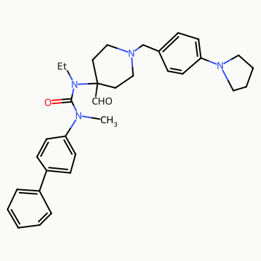 CCN(C(=O)N(C)c1ccc(-c2ccccc2)cc1)C1(C=O)CCN(Cc2ccc(N3CCCC3)cc2)CC1